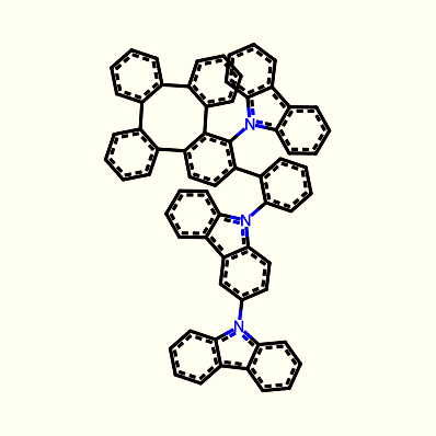 c1ccc2c(c1)-c1ccccc1-c1ccc(-c3ccccc3-n3c4ccccc4c4cc(-n5c6ccccc6c6ccccc65)ccc43)c(-n3c4ccccc4c4ccccc43)c1-c1ccccc1-2